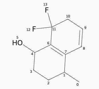 CC1CCC(O)C2=C1C=CCC2(F)F